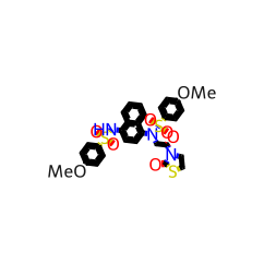 COc1ccc(S(=O)(=O)Nc2ccc(N(CC(=O)N3CCSC3=O)S(=O)(=O)c3ccc(OC)cc3)c3ccccc23)cc1